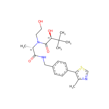 Cc1ncsc1-c1ccc(CNC(=O)[C@H](C)N(CCO)C(=O)[C@@H](O)C(C)(C)C)cc1